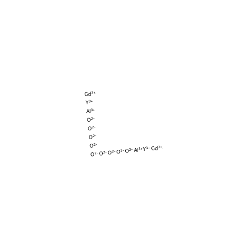 [Al+3].[Al+3].[Gd+3].[Gd+3].[O-2].[O-2].[O-2].[O-2].[O-2].[O-2].[O-2].[O-2].[O-2].[Y+3].[Y+3]